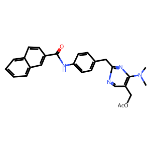 CC(=O)OCc1cnc(Cc2ccc(NC(=O)c3ccc4ccccc4c3)cc2)nc1N(C)C